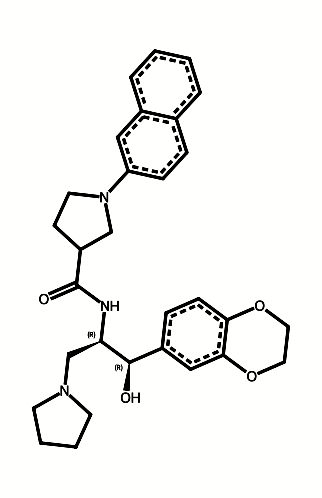 O=C(N[C@H](CN1CCCC1)[C@H](O)c1ccc2c(c1)OCCO2)C1CCN(c2ccc3ccccc3c2)C1